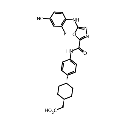 N#Cc1ccc(Nc2nnc(C(=O)Nc3ccc([C@H]4CC[C@H](CC(=O)O)CC4)cc3)o2)c(F)c1